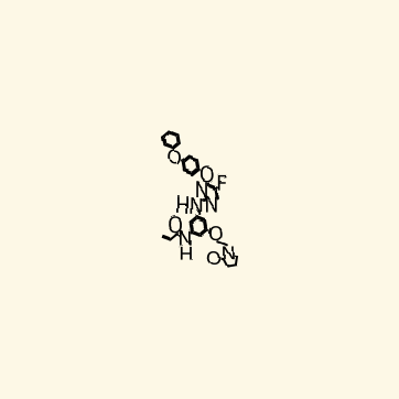 C=CC(=O)Nc1cc(Nc2ncc(F)c(Oc3ccc(Oc4ccccc4)cc3)n2)cc(OCCN2CCCC2=O)c1